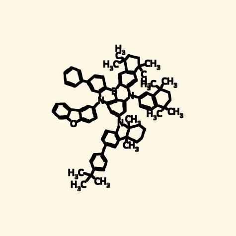 CC(C)(C)c1ccc(-c2ccc3c(c2)C2(C)CCCCC2(C)N3c2cc3c4c(c2)N(c2ccc5c(c2)C(C)(C)CCC5(C)C)c2cc5c(cc2B4c2ccc(-c4ccccc4)cc2N3c2ccc3oc4ccccc4c3c2)C(C)(C)CCC5(C)C)cc1